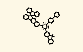 CC1(C)c2ccccc2-c2ccc(-c3nc(-c4ccc(-c5ccccc5)cc4)nc(-c4ccc5cc6c(cc5c4)C4(c5ccccc5-c5ccccc54)c4ccccc4-6)n3)cc21